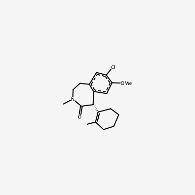 COc1cc2c(cc1Cl)CCN(C)C(=O)[C@H]2C1=C(C)CCCC1